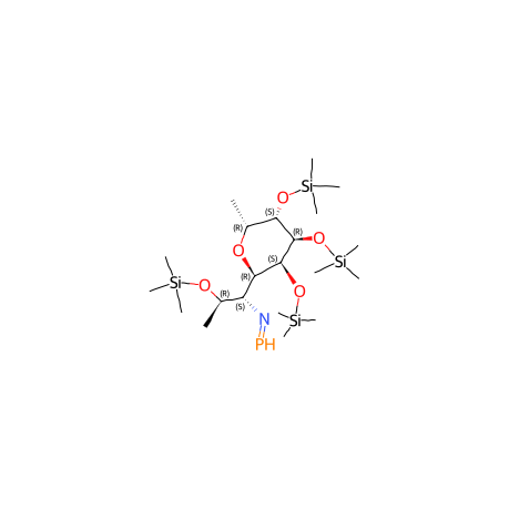 C[C@@H](O[Si](C)(C)C)[C@@H](N=P)[C@H]1O[C@H](C)[C@H](O[Si](C)(C)C)[C@@H](O[Si](C)(C)C)[C@H]1O[Si](C)(C)C